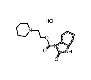 Cl.O=C(OCCN1CCCCC1)n1c(=O)[nH]c2ccccc21